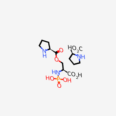 O=C(O)[C@@H]1CCCN1.O=C(O)[C@H](COC(=O)[C@@H]1CCCN1)NP(=O)(O)O